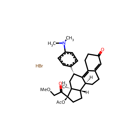 Br.COCC(=O)[C@@]1(OC(C)=O)CC[C@H]2[C@@H]3CCC4=CC(=O)CCC4=C3[C@@H](c3ccc(N(C)C)cc3)C[C@@]21C